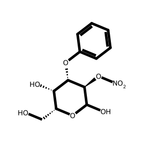 O=[N+]([O-])O[C@H]1C(O)O[C@H](CO)[C@H](O)[C@@H]1Oc1ccccc1